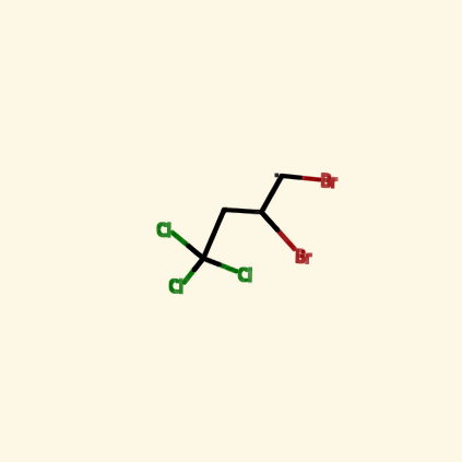 ClC(Cl)(Cl)CC(Br)[CH]Br